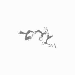 Cc1cnn(CC(=O)NC(C)C(=O)O)c1